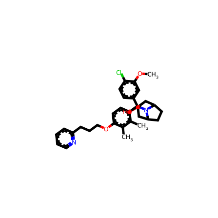 COc1cc(C2(O)CC3CCC(C2)N3Cc2ccc(OCCCc3ccccn3)c(C)c2C)ccc1Cl